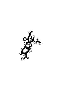 CCOC(=O)C1(C(=O)OCC)Oc2ccc(C=O)cc2O1